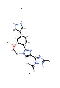 Cc1nc(-c2cn3c(n2)-c2ccc(-c4cn[nH]c4)cc2OCC3)n(C(C)C)n1